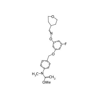 C=C(OC)N(C)c1ccc(COc2cc(F)cc(ON=CC3CCOCC3)c2)cc1